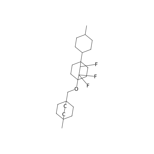 CC1CCC(C23CCC(OCC45CCC(C)(CC4)CC5)(CC2)C(F)(F)C3F)CC1